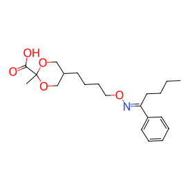 CCCC/C(=N\OCCCCC1COC(C)(C(=O)O)OC1)c1ccccc1